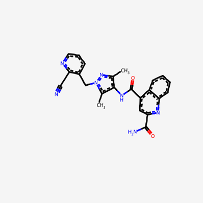 Cc1nn(Cc2cccnc2C#N)c(C)c1NC(=O)c1cc(C(N)=O)nc2ccccc12